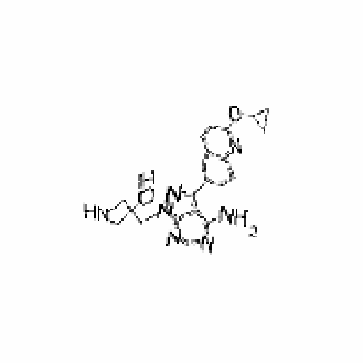 Nc1ncnc2c1c(-c1ccc3nc(OC4CC4)ccc3c1)nn2CC1(O)CNC1